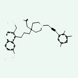 COc1ccc2ncc(CN)c(CCCC3(CC(=O)O)CCN(CC#Cc4cc(F)cc(F)c4F)CC3)c2c1